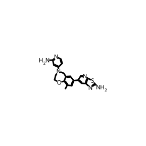 Cc1cc(-c2cnc3sc(N)nc3c2)cc2c1OCCN(c1ccnc(N)c1)C2